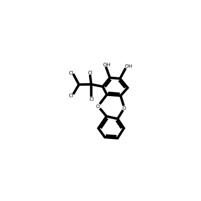 Oc1cc2c(c(C(Cl)(Cl)C(Cl)Cl)c1O)Oc1ccccc1O2